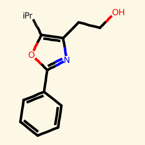 CC(C)c1oc(-c2ccccc2)nc1CCO